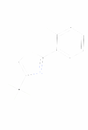 Fc1ccccc1-c1nc(C(F)(F)F)cs1